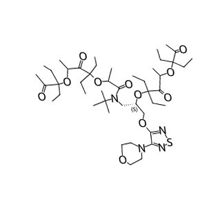 CCC(CC)(OC(C)C(=O)C(CC)(CC)OC(C)C(=O)N(C[C@@H](COc1nsnc1N1CCOCC1)OC(CC)(CC)C(=O)C(C)OC(CC)(CC)C(C)=O)C(C)(C)C)C(C)=O